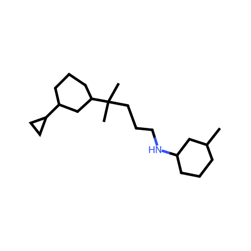 CC1CCCC(NCCCC(C)(C)C2CCCC(C3CC3)C2)C1